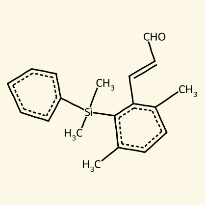 Cc1ccc(C)c([Si](C)(C)c2ccccc2)c1C=CC=O